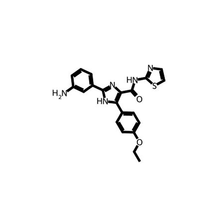 CCOc1ccc(-c2[nH]c(-c3cccc(N)c3)nc2C(=O)Nc2nccs2)cc1